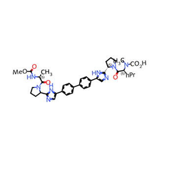 CCC[C@@H](C(=O)N1CCC[C@H]1c1ncc(-c2ccc(-c3ccc(-c4cnc(C5CCCN5C(=O)[C@H](C)NC(=O)OC)[nH]4)cc3)cc2)[nH]1)N(C)C(=O)O